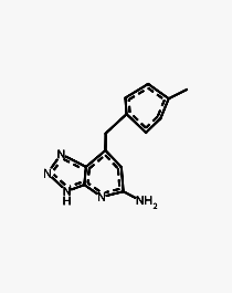 Cc1ccc(Cc2cc(N)nc3[nH]nnc23)cc1